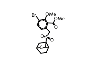 COC(=O)c1c(CS(=O)(=O)C2CC3CCC2CC3)ccc(Br)c1OC